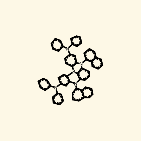 c1ccc(N(c2ccccc2)c2ccc3c(c2)N(c2cccc4ccccc24)c2cccc4c2B3c2ccc(N(c3ccccc3)c3ccccc3)cc2N4c2cccc3ccccc23)cc1